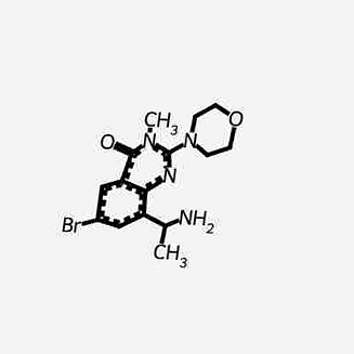 CC(N)c1cc(Br)cc2c(=O)n(C)c(N3CCOCC3)nc12